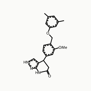 COc1cc(C2CC(=O)Nc3n[nH]cc32)ccc1COc1cc(C)cc(C)c1